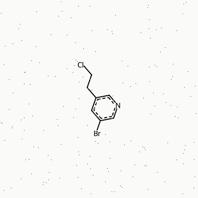 ClCCc1cncc(Br)c1